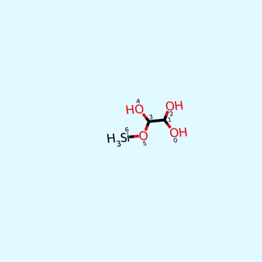 OC(O)C(O)O[SiH3]